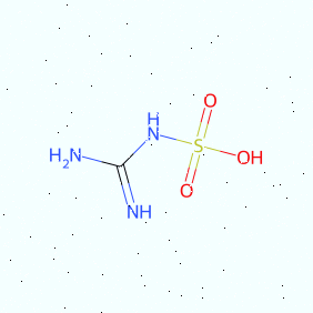 N=C(N)NS(=O)(=O)O